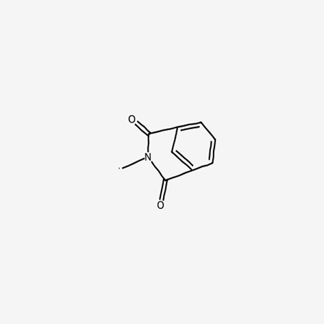 [CH2]N1C(=O)c2cccc(c2)C1=O